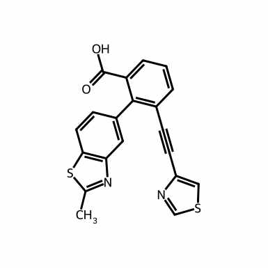 Cc1nc2cc(-c3c(C#Cc4cscn4)cccc3C(=O)O)ccc2s1